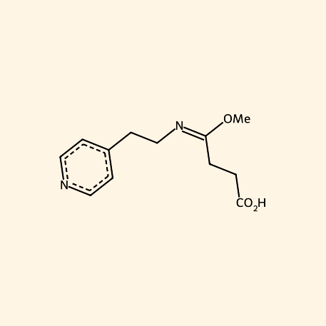 COC(CCC(=O)O)=NCCc1ccncc1